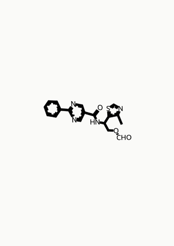 Cc1ncsc1C(COC=O)NC(=O)c1cnc(-c2ccccc2)nc1